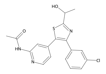 CC(=O)Nc1cc(-c2sc(C(C)O)nc2-c2cccc(Cl)c2)ccn1